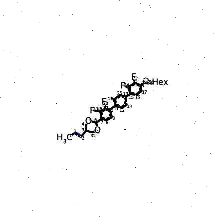 C/C=C/C1COC(c2ccc(-c3ccc(-c4ccc(OCCCCCC)c(F)c4F)cc3)c(F)c2F)OC1